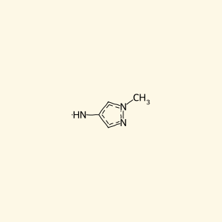 Cn1cc([NH])cn1